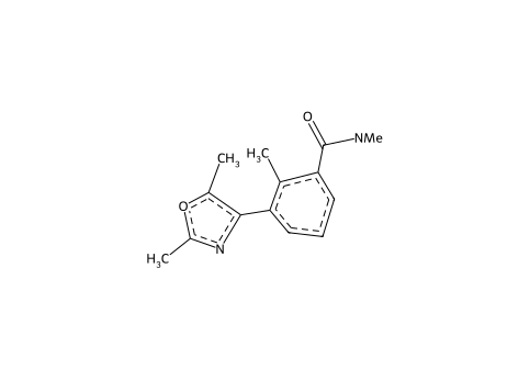 CNC(=O)c1cccc(-c2nc(C)oc2C)c1C